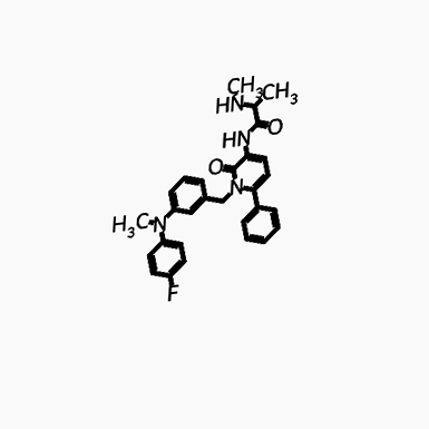 CNC(C)C(=O)Nc1ccc(-c2ccccc2)n(Cc2cccc(N(C)c3ccc(F)cc3)c2)c1=O